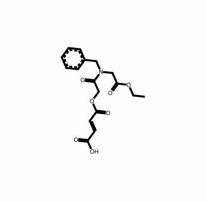 CCOC(=O)CN(Cc1ccccc1)C(=O)COC(=O)/C=C/C(=O)O